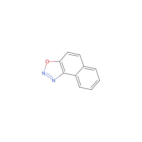 c1ccc2c(c1)ccc1onnc12